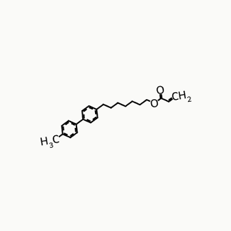 C=CC(=O)OCCCCCCCc1ccc(-c2ccc(C)cc2)cc1